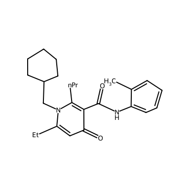 CCCc1c(C(=O)Nc2ccccc2C)c(=O)cc(CC)n1CC1CCCCC1